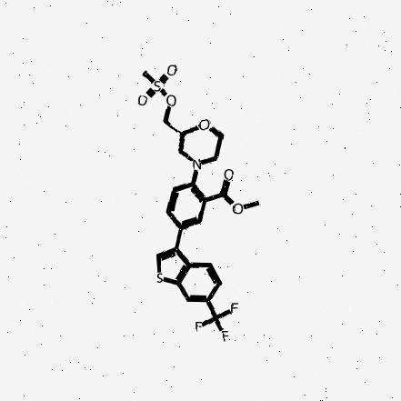 COC(=O)c1cc(-c2csc3cc(C(F)(F)F)ccc23)ccc1N1CCO[C@H](COS(C)(=O)=O)C1